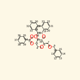 O=C(O[C@H]1CO[C@H](COCc2ccccc2)[C@@H](OCc2ccccc2)[C@@H]1OCc1ccccc1)c1ccccc1